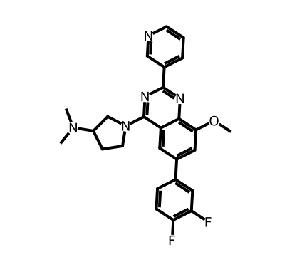 COc1cc(-c2ccc(F)c(F)c2)cc2c(N3CCC(N(C)C)C3)nc(-c3cccnc3)nc12